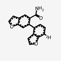 [2H]c1ccc(-c2cc3occc3cc2C(N)=O)c2ccoc12